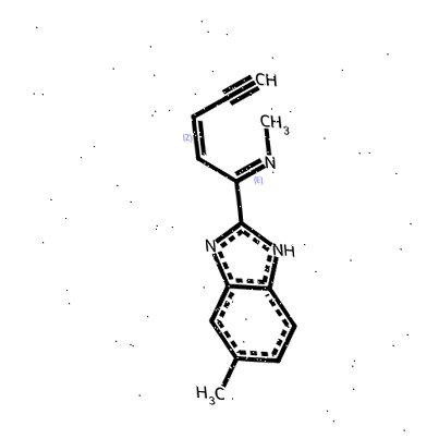 C#C/C=C\C(=N/C)c1nc2cc(C)ccc2[nH]1